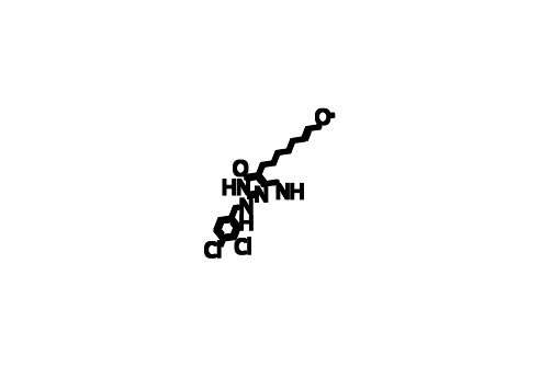 COC/C=C/CCCCCc1c(C=N)nc(NCc2ccc(Cl)c(Cl)c2)[nH]c1=O